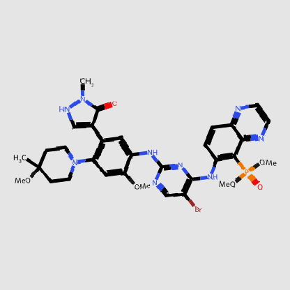 COc1cc(N2CCC(C)(OC)CC2)c(-c2c[nH]n(C)c2=O)cc1Nc1ncc(Br)c(Nc2ccc3nccnc3c2P(=O)(OC)OC)n1